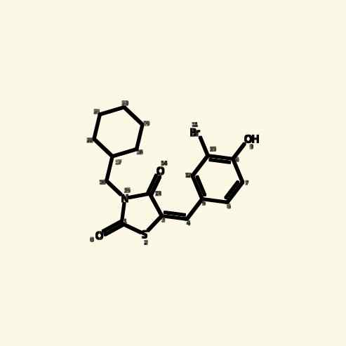 O=C1SC(=Cc2ccc(O)c(Br)c2)C(=O)N1CC1CCCCC1